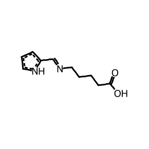 O=C(O)CCCCN=Cc1ccc[nH]1